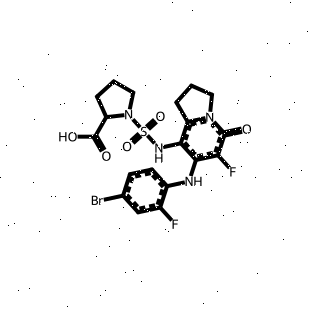 O=C(O)C1CCCN1S(=O)(=O)Nc1c(Nc2ccc(Br)cc2F)c(F)c(=O)n2c1CCC2